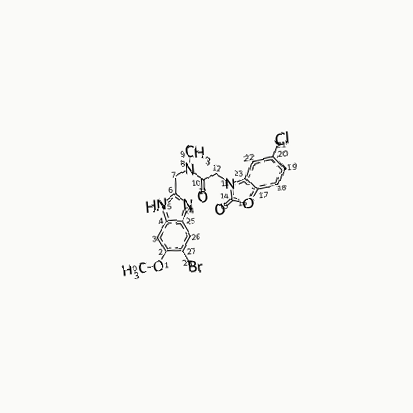 COc1cc2[nH]c(CN(C)C(=O)Cn3c(=O)oc4ccc(Cl)cc43)nc2cc1Br